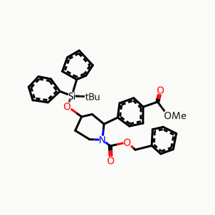 COC(=O)c1ccc(C2CC(O[Si](c3ccccc3)(c3ccccc3)C(C)(C)C)CCN2C(=O)OCc2ccccc2)cc1